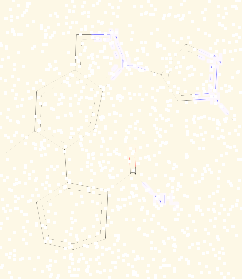 Cc1cc2cnn(-c3cnn(C)c3)c2cc1-c1ccccc1C(N)=O